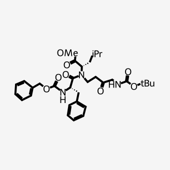 COC(=O)[C@H](CC(C)C)N(CCC(=O)CNC(=O)OC(C)(C)C)C(=O)[C@H](Cc1ccccc1)NC(=O)OCc1ccccc1